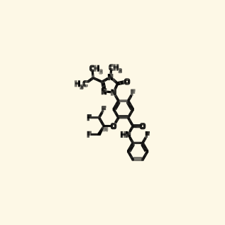 CC(C)c1nn(-c2cc(O[C@@H](CF)C(F)F)c(C(=O)Nc3ccccc3F)cc2F)c(=O)n1C